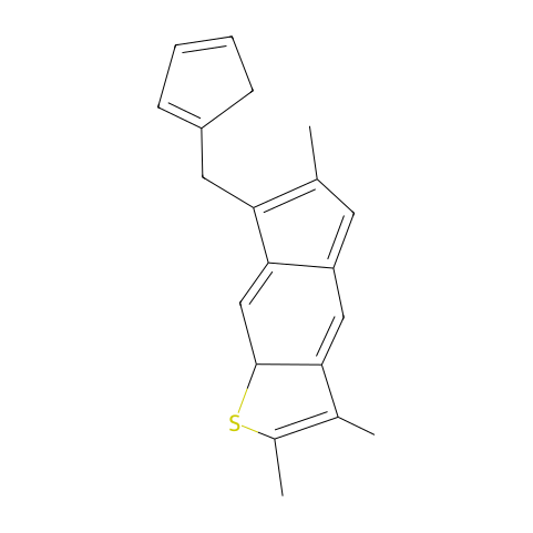 CC1=C(CC2=CC=CC2)C2=CC3SC(C)=C(C)C3=CC2=C1